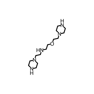 C(COCCN1CCNCC1)NCCN1CCNCC1